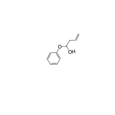 C=CC[C](O)Oc1ccccc1